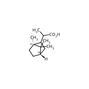 CC(C(=O)O)C1C[C@@H]2CC[C@]1(C)C2(C)C